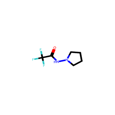 O=C(NN1CCCC1)C(F)(F)F